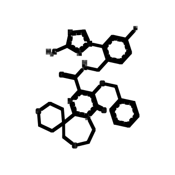 Cc1ncn(-c2cc(F)ccc2CNC(=O)c2nc3n(c(=O)c2OCc2ccccc2)CCOCC32CCOCC2)n1